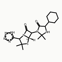 CC1(C)S[C@H]2C(N3C(=O)C(C4CCCCC4)NC3(C)C)C(=O)N2C1c1nnn[nH]1